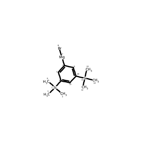 C[Si](C)(C)c1c[c]([Mg][Br])cc([Si](C)(C)C)c1